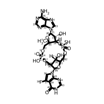 C[C@@]12COP(=O)(O)O[C@@H]3[C@H](O)[C@@H](COP(=O)(S)O[C@H]1[C@@H](O)[C@H](n1cnc4c(N)ncnc41)O2)O[C@H]3n1cc(F)c2c(=O)[nH]cnc21